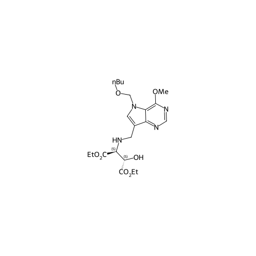 CCCCOCn1cc(CN[C@H](C(=O)OCC)[C@H](O)C(=O)OCC)c2ncnc(OC)c21